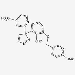 COc1ccc(COc2cccc(C3(c4cc(C(=O)O)ccn4)C=CN=N3)c2C=O)cc1